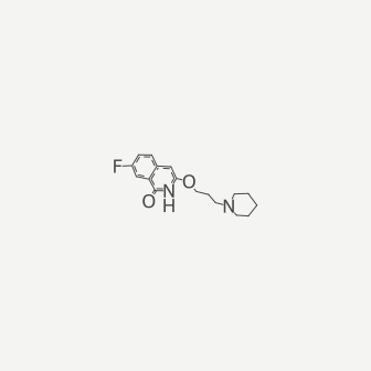 O=c1[nH]c(OCCCN2CCCCC2)cc2ccc(F)cc12